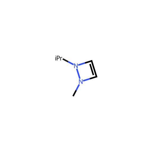 CC(C)n1ccn1C